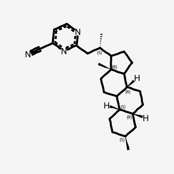 C[C@H]1CC[C@@H]2C3CC[C@@]4(C)C(CCC4[C@@H](C)Cc4nccc(C#N)n4)[C@@H]3CC[C@@H]2C1